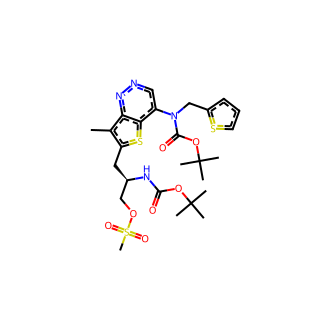 Cc1c(C[C@H](COS(C)(=O)=O)NC(=O)OC(C)(C)C)sc2c(N(Cc3cccs3)C(=O)OC(C)(C)C)cnnc12